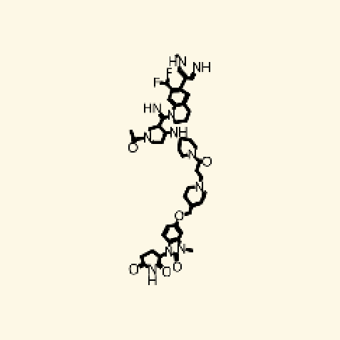 CN/C=C(\C=N)c1cc2c(cc1C(F)F)N(C(=N)C1CN(C(C)=O)CCC1NC1CCN(C(=O)CCN3CCC(COc4ccc5c(c4)n(C)c(=O)n5C4CCC(=O)NC4=O)CC3)CC1)CCC2